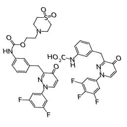 O=C(Nc1cccc(Cc2nn(-c3cc(F)cc(F)c3)ccc2=O)c1)OCCN1CCS(=O)(=O)CC1.O=C(O)Nc1cccc(Cc2nn(-c3cc(F)c(F)c(F)c3)ccc2=O)c1